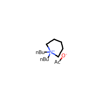 CC(=O)[O-].CCCC[N+]1(CCCC)CCCCC1